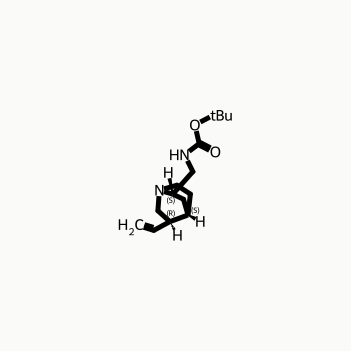 C=C[C@H]1CN2CC[C@H]1C[C@H]2CNC(=O)OC(C)(C)C